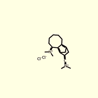 C[N+](C)=C=C1CC2=C3CCCCCC(=[N+](C)C)C3=C1[C]2.[Cl-].[Cl-]